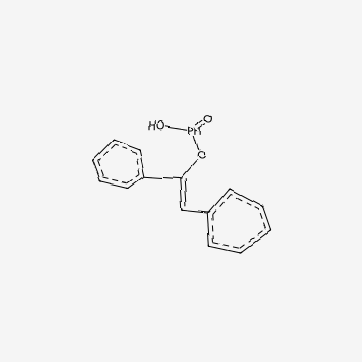 O=[PH](O)OC(=Cc1ccccc1)c1ccccc1